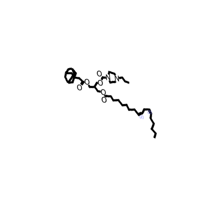 CCCCC/C=C\C/C=C\CCCCCCCC(=O)OCC(COC(=O)CC12CC3CC(CC(C3)C1)C2)COC(=O)N1CCN(CCC)CC1